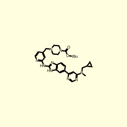 CN(CC1CC1)c1cc(-c2ccc3nc(Nc4cc(CN5CCN(C(=O)OC(C)(C)C)CC5)ccn4)[nH]c3c2)ncn1